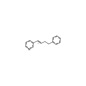 C(=C\c1cccnc1)/CCc1ccccc1